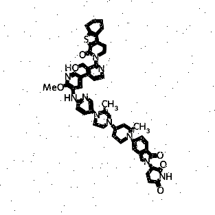 COc1ncc(-c2ccnc(N3CCc4c(sc5c4CCCC5)C3=O)c2CO)cc1Nc1ccc(N2CCN(C3CCN(c4ccc5c(c4)CN(C4CCC(=O)NC4=O)C5=O)[C@H](C)C3)C[C@@H]2C)cn1